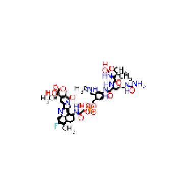 CC[C@@]1(O)C(=O)OCc2c1cc1n(c2=O)Cc2c-1nc1cc(F)c(C)c3c1c2[C@@H](NC(=O)COP(=O)(O)OCc1ccc(NC(=O)C(CCCNC(N)=O)NC(=O)C(NC(=O)O)C(C)C)cc1CNC)CC3